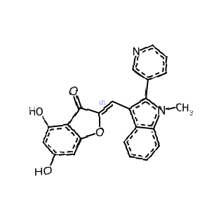 Cn1c(-c2cccnc2)c(/C=C2\Oc3cc(O)cc(O)c3C2=O)c2ccccc21